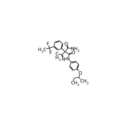 CCC(C)Oc1ccc(N2N=C(C)C(C(N)=O)(c3cccc(C(C)(F)F)c3)C2=O)cc1